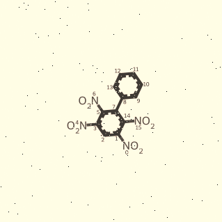 O=[N+]([O-])c1[c]c([N+](=O)[O-])c([N+](=O)[O-])c(-c2ccccc2)c1[N+](=O)[O-]